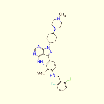 COc1cc(-c2nn([C@H]3CC[C@H](N4CCN(C)CC4)CC3)c3ncnc(N)c23)ccc1NCc1c(F)cccc1Cl